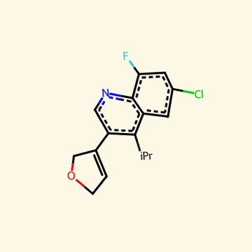 CC(C)c1c(C2=CCOC2)cnc2c(F)cc(Cl)cc12